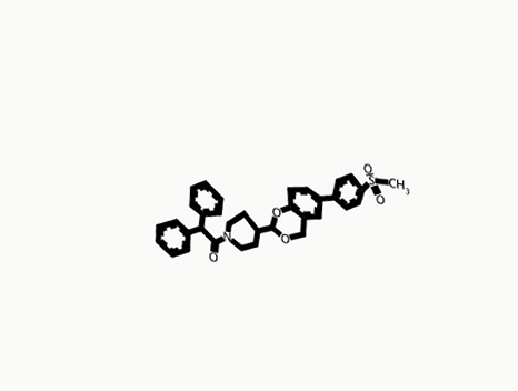 CS(=O)(=O)c1ccc(-c2ccc3c(c2)COC(C2CCN(C(=O)C(c4ccccc4)c4ccccc4)CC2)O3)cc1